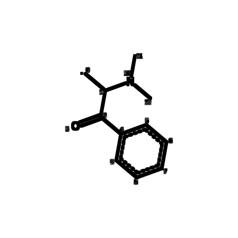 [CH2]C(C(=O)c1ccccc1)N(C)C